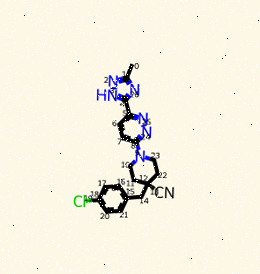 Cc1n[nH]c(-c2ccc(N3CCC(C#N)(Cc4ccc(Cl)cc4)CC3)nn2)n1